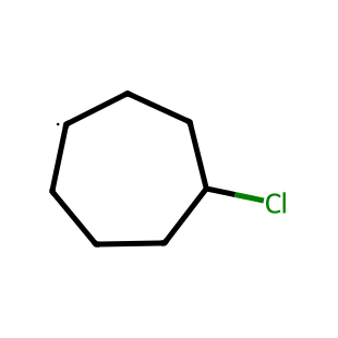 ClC1CC[CH]CCC1